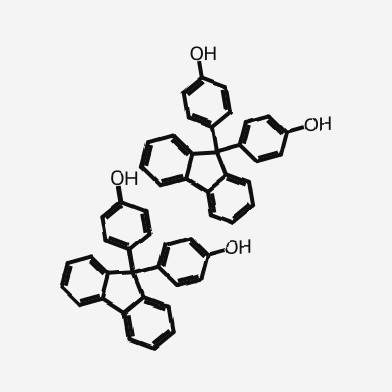 Oc1ccc(C2(c3ccc(O)cc3)c3ccccc3-c3ccccc32)cc1.Oc1ccc(C2(c3ccc(O)cc3)c3ccccc3-c3ccccc32)cc1